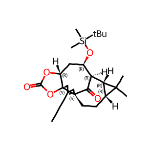 CC1=C[C@]23CC[C@@H]4[C@H]([C@@H](C2=O)[C@H](O[Si](C)(C)C(C)(C)C)C[C@H]2OC(=O)O[C@]23C1)C4(C)C